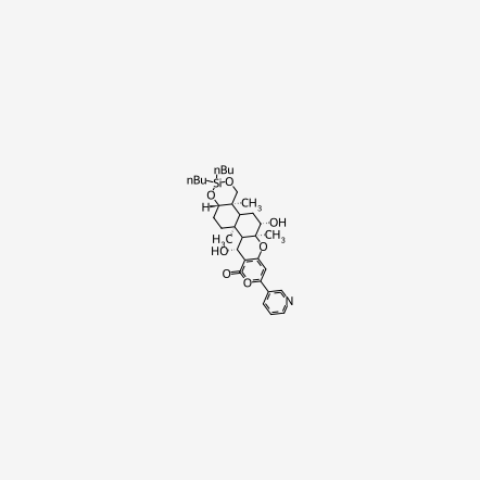 CCCC[Si]1(CCCC)OC[C@@]2(C)C3C[C@H](O)[C@@]4(C)Oc5cc(-c6cccnc6)oc(=O)c5[C@H](O)C4[C@@]3(C)CC[C@@H]2O1